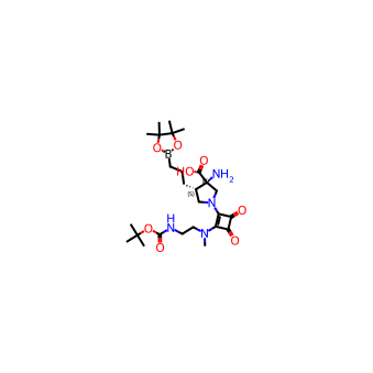 CN(CCNC(=O)OC(C)(C)C)c1c(N2C[C@H](CCCB3OC(C)(C)C(C)(C)O3)[C@](N)(C(=O)O)C2)c(=O)c1=O